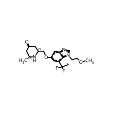 COCCn1cnc2cc(OC[C@@H]3CC(=O)C[C@H](C)N3)cc(C(F)(F)F)c21